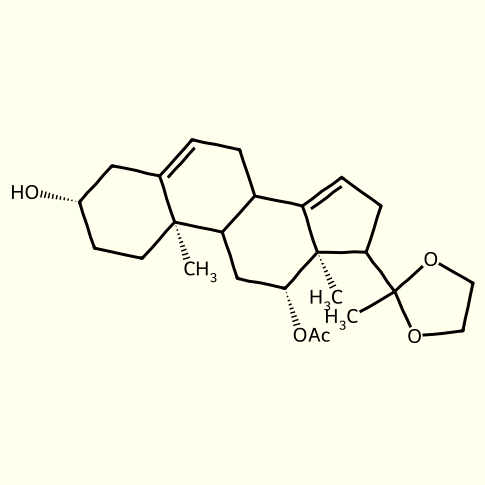 CC(=O)O[C@@H]1CC2C(CC=C3C[C@@H](O)CC[C@@]32C)C2=CCC(C3(C)OCCO3)[C@]21C